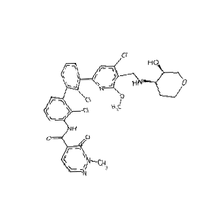 COc1nc(-c2cccc(-c3cccc(NC(=O)c4ccnn(C)c4=O)c3Cl)c2Cl)cc(Cl)c1CN[C@@H]1CCOC[C@@H]1O